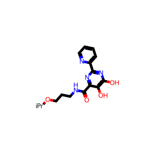 CC(C)OCCCNC(=O)c1nc(-c2ccccn2)nc(O)c1O